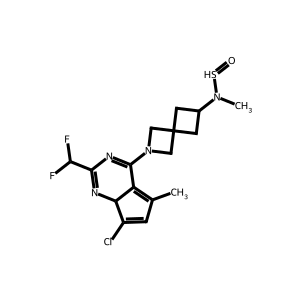 CC1=C2C(N3CC4(CC(N(C)[SH]=O)C4)C3)=NC(C(F)F)=NC2C(Cl)=C1